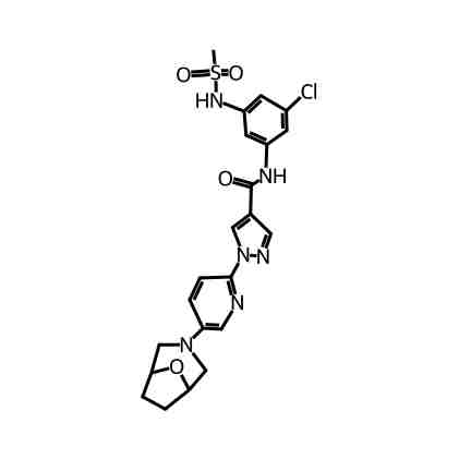 CS(=O)(=O)Nc1cc(Cl)cc(NC(=O)c2cnn(-c3ccc(N4CC5CCC(C4)O5)cn3)c2)c1